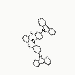 c1cc2c3c(c1)Sc1cc(-n4c5ccccc5c5ccccc54)ccc1B3c1ccc(-n3c4ccccc4c4ccccc43)cc1S2